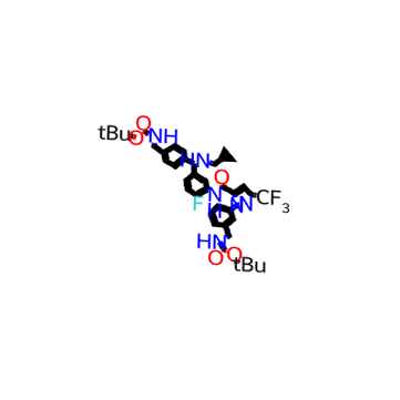 CC(C)(C)OC(=O)NCc1ccc(C(NCC2CC2)c2ccc(F)c(NC(=O)c3cc(C(F)(F)F)nn3-c3cccc(CNC(=O)OC(C)(C)C)c3)c2)cc1